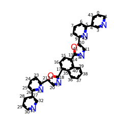 c1cncc(-c2cccc(-c3cnc(-c4ccc(-c5ncc(-c6cccc(-c7cccnc7)n6)o5)c5ccccc45)o3)n2)c1